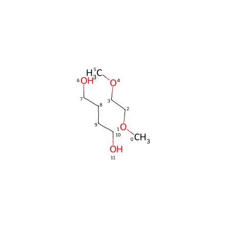 COCCOC.OCCCCO